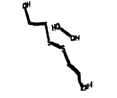 OCCSSCCO.OO